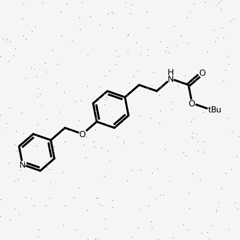 CC(C)(C)OC(=O)NCCc1ccc(OCc2ccncc2)cc1